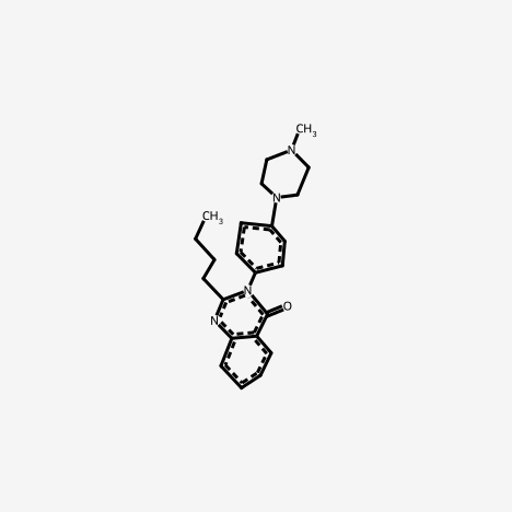 CCCCc1nc2ccccc2c(=O)n1-c1ccc(N2CCN(C)CC2)cc1